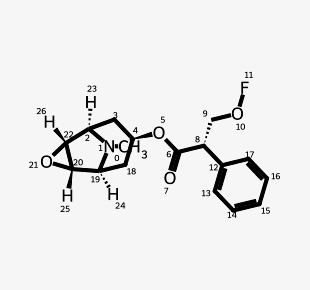 CN1[C@@H]2C[C@@H](OC(=O)[C@H](COF)c3ccccc3)C[C@H]1[C@@H]1O[C@@H]12